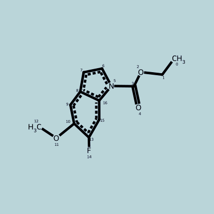 CCOC(=O)n1ccc2cc(OC)c(F)cc21